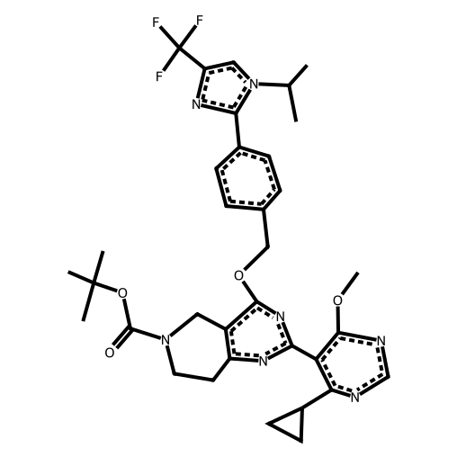 COc1ncnc(C2CC2)c1-c1nc2c(c(OCc3ccc(-c4nc(C(F)(F)F)cn4C(C)C)cc3)n1)CN(C(=O)OC(C)(C)C)CC2